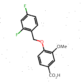 COc1cc(C(=O)O)ccc1OCc1ccc(F)cc1F